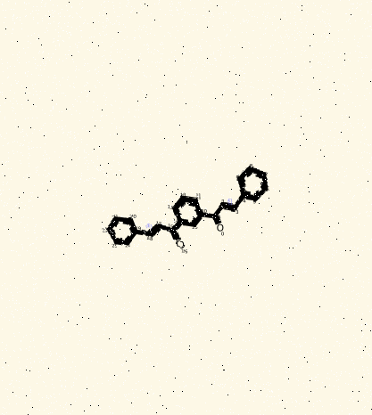 O=C(/C=C/c1ccccc1)c1cccc(C(=O)/C=C/c2ccccc2)c1